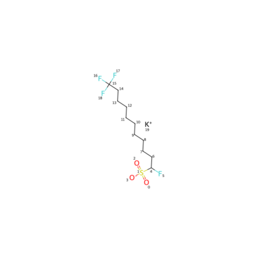 O=S(=O)([O-])C(F)CCCCCCCCCC(F)(F)F.[K+]